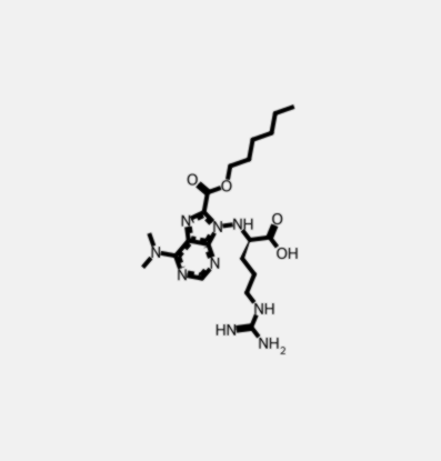 CCCCCCOC(=O)c1nc2c(N(C)C)ncnc2n1N[C@H](CCCNC(=N)N)C(=O)O